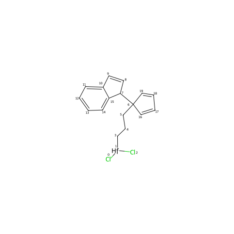 [Cl][Hf]([Cl])[CH2]CCC1(C2C=Cc3ccccc32)C=CC=C1